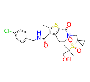 Cc1sc2c(c1C(=O)NCc1ccc(Cl)cc1)CCN(CC1(S(=O)(=O)C(C)(C)CO)CC1)C2=O